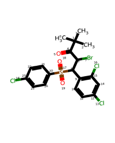 CC(C)(C)C(=O)C(Br)C(c1ccc(Cl)cc1Cl)S(=O)(=O)c1ccc(Cl)cc1